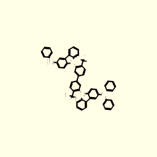 FC(F)(F)c1ccc(-c2ccc(C(F)(F)F)c(-n3c4ccccc4c4cc(N(c5ccccc5)c5ccccc5)ccc43)c2)cc1-n1c2ccccc2c2cc(Nc3ccccc3)ccc21